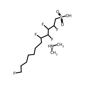 CNC.O=S(=O)(O)CC(F)C(F)C(F)C(F)CCCCCCCF